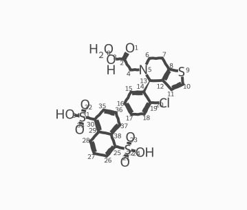 O.O=C(O)CN1CCc2sccc2[C@H]1c1ccccc1Cl.O=S(=O)(O)c1cccc2c(S(=O)(=O)O)cccc12